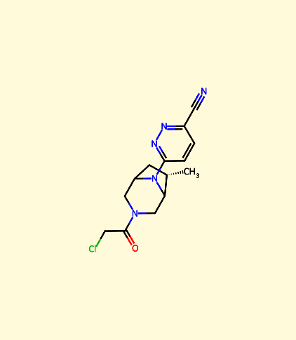 C[C@H]1CC2CN(C(=O)CCl)CC1N2c1ccc(C#N)nn1